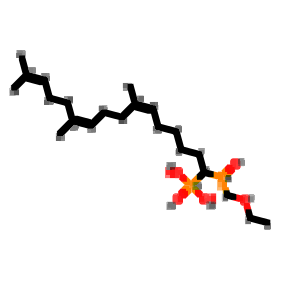 CCOC[PH](=O)C(CCCCC=C(C)CCC=C(C)CCC=C(C)C)P(=O)(O)O